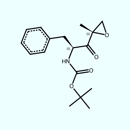 CC(C)(C)OC(=O)N[C@@H](Cc1ccccc1)C(=O)[C@]1(C)CO1